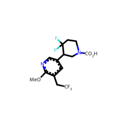 COc1ncc(C2CN(C(=O)O)CCC2(F)F)cc1CC(F)(F)F